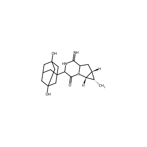 C[C@H]1[C@H]2CC3C(=N)NC(C45CC6CC(O)(CC(O)(C6)C4)C5)C(=O)N3[C@@H]12